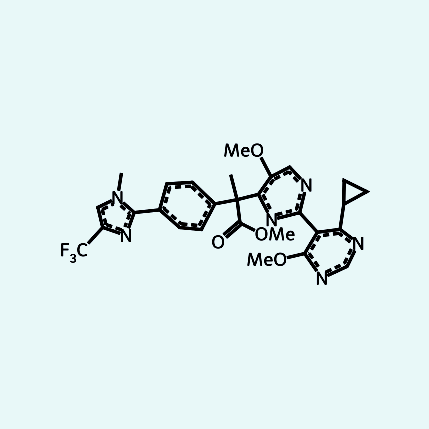 COC(=O)C(C)(c1ccc(-c2nc(C(F)(F)F)cn2C)cc1)c1nc(-c2c(OC)ncnc2C2CC2)ncc1OC